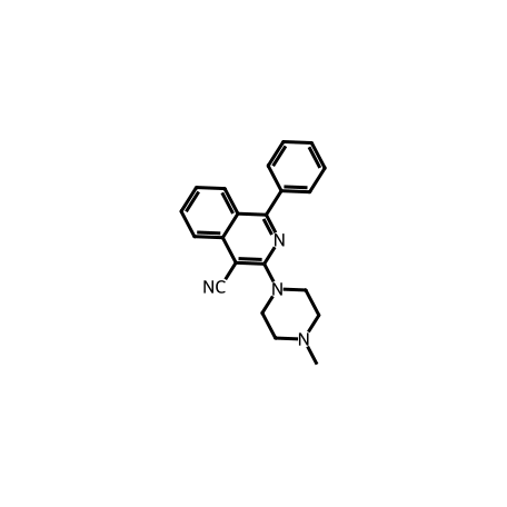 CN1CCN(c2nc(-c3ccccc3)c3ccccc3c2C#N)CC1